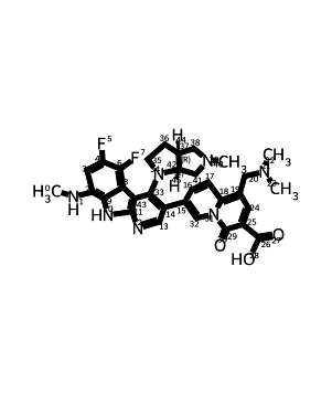 CNc1cc(F)c(F)c2c1[nH]c1ncc(-c3ccc4c(CN(C)C)cc(C(=O)O)c(=O)n4c3)c(N3CC[C@@H]4CN(C)C[C@@H]43)c12